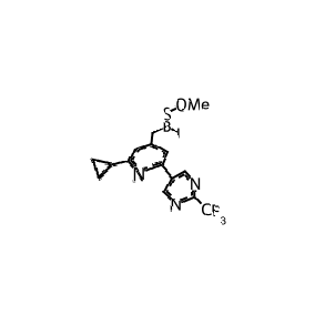 COSB(I)Cc1cc(-c2cnc(C(F)(F)F)nc2)nc(C2CC2)c1